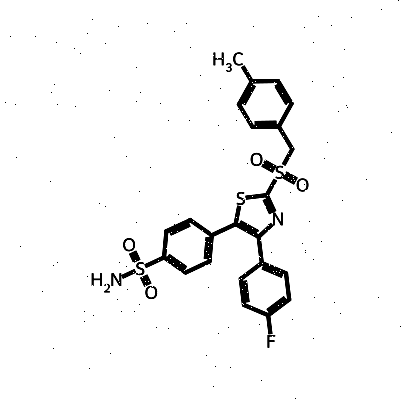 Cc1ccc(CS(=O)(=O)c2nc(-c3ccc(F)cc3)c(-c3ccc(S(N)(=O)=O)cc3)s2)cc1